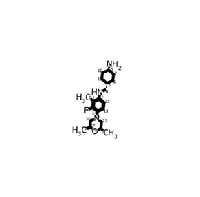 Cc1c(NC[C@H]2CC[C@H](N)CC2)ccc(N2CC(C)OC(C)C2)c1F